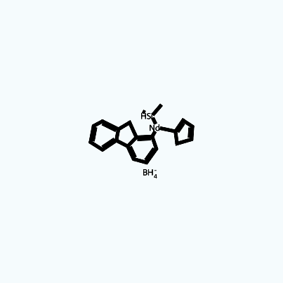 C[SiH](C)[Nd]([C]1=CC=CC1)[c]1cccc2c1Cc1ccccc1-2.[BH4-]